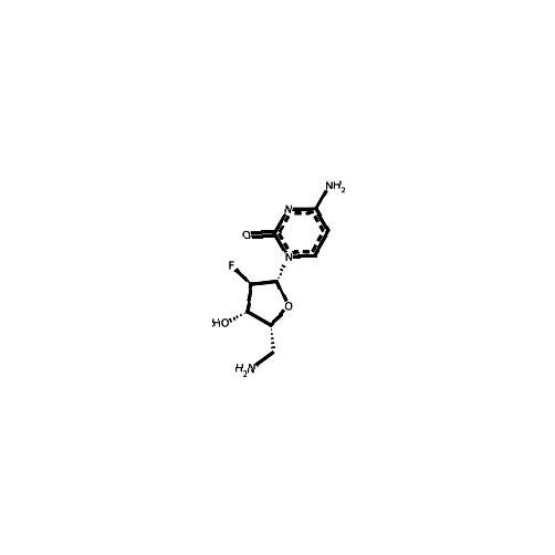 NC[C@H]1O[C@@H](n2ccc(N)nc2=O)[C@H](F)[C@H]1O